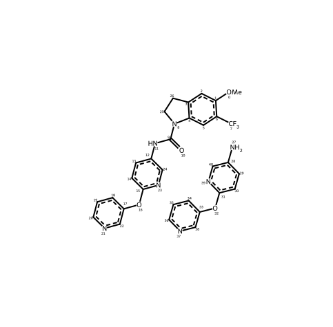 COc1cc2c(cc1C(F)(F)F)N(C(=O)Nc1ccc(Oc3cccnc3)nc1)CC2.Nc1ccc(Oc2cccnc2)nc1